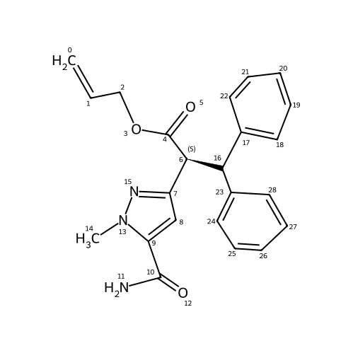 C=CCOC(=O)[C@H](c1cc(C(N)=O)n(C)n1)C(c1ccccc1)c1ccccc1